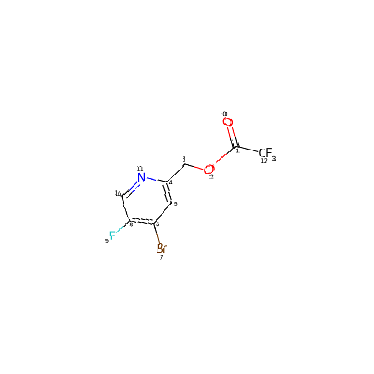 O=C(OCc1cc(Br)c(F)cn1)C(F)(F)F